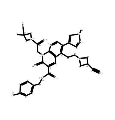 Cn1cc(-c2cnc3c(cc(C(=O)NCc4ccc(Cl)cc4)c(=O)n3CC(=O)N3CC(C)(F)C3)c2CCN2CC(C#N)C2)cn1